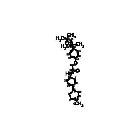 CN1CCN(c2ccc(NC(=O)COc3ccc(C(C)(C)CC(C)(C)C)cc3)cc2)CC1